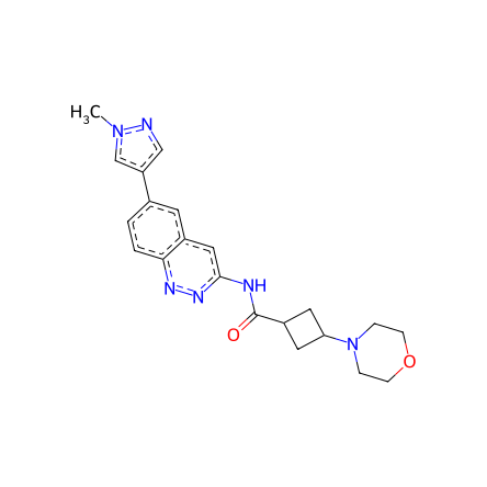 Cn1cc(-c2ccc3nnc(NC(=O)C4CC(N5CCOCC5)C4)cc3c2)cn1